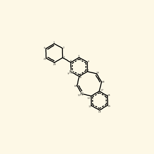 C1=CCC(c2ccc3c(n2)C=Nc2ccccc2C=C3)C=C1